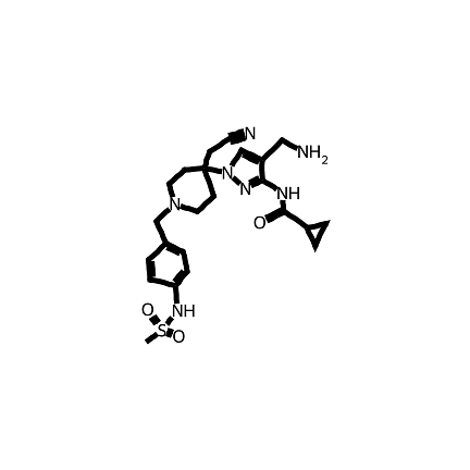 CS(=O)(=O)Nc1ccc(CN2CCC(CC#N)(n3cc(CN)c(NC(=O)C4CC4)n3)CC2)cc1